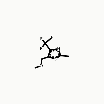 COCc1sc(C)nc1C(F)(F)F